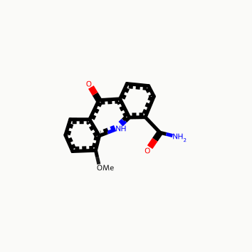 COc1cccc2c(=O)c3cccc(C(N)=O)c3[nH]c12